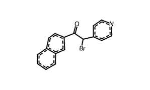 O=C(c1ccc2ccccc2c1)C(Br)c1ccncc1